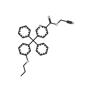 CCCOc1cccc(C(c2ccccc2)(c2ccccc2)c2ccc(C(=O)OCC#N)nc2)c1